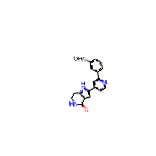 O=Cc1cccc(-c2cc(-c3cc4c([nH]3)CCNC4=O)ccn2)c1